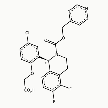 O=C(O)COc1ccc(Cl)cc1[C@@H]1c2ccc(F)c(F)c2CCN1C(=O)OCc1ccncn1